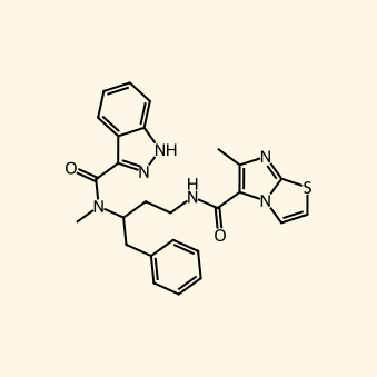 Cc1nc2sccn2c1C(=O)NCCC(Cc1ccccc1)N(C)C(=O)c1n[nH]c2ccccc12